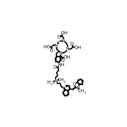 CN1/C(=C/c2cc[n+](CCC[N+](C)(C)CCCCC(=O)Nc3ccc(CC4CN(CC(=O)O)CCN(CC(=O)O)CCN(CC(=O)O)CCN4CC(=O)O)cc3)c3ccccc23)Oc2ccccc21